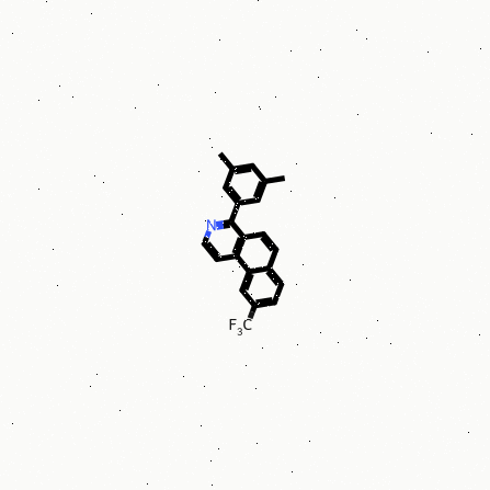 Cc1cc(C)cc(-c2nccc3c2ccc2ccc(C(F)(F)F)cc23)c1